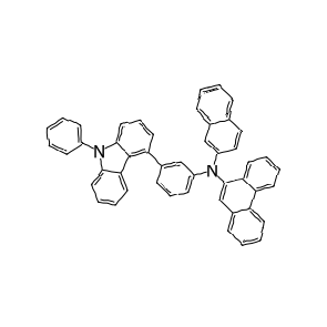 c1ccc(-n2c3ccccc3c3c(-c4cccc(N(c5ccc6ccccc6c5)c5cc6ccccc6c6ccccc56)c4)cccc32)cc1